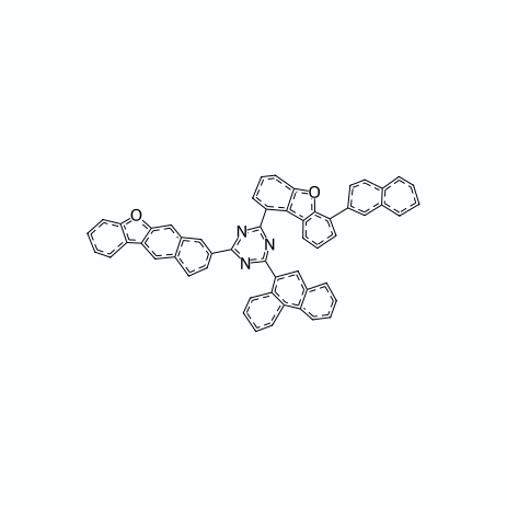 c1ccc2cc(-c3cccc4c3oc3cccc(-c5nc(-c6ccc7cc8c(cc7c6)oc6ccccc68)nc(-c6cc7ccccc7c7ccccc67)n5)c34)ccc2c1